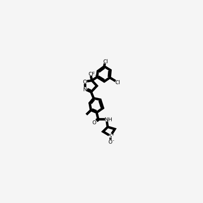 Cc1cc(C2=NOC(c3cc(Cl)cc(Cl)c3)(C(F)(F)F)C2)ccc1C(=O)NC1C[S+]([O-])C1